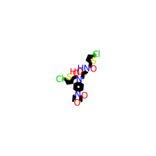 O=C(NC[C@H](O)CN(C(=O)c1ccc(Cl)s1)c1ccc(N2CCOCC2=O)cc1)c1ccc(Cl)s1